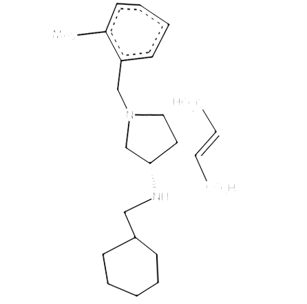 CSc1ccccc1CN1CC[C@H](NCC2CCCCC2)C1.O=C(O)C=CC(=O)O